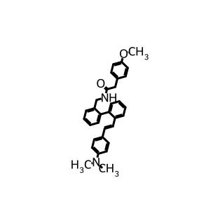 COc1ccc(CC(=O)NCc2ccccc2-c2ccccc2/C=C/c2ccc(N(C)C)cc2)cc1